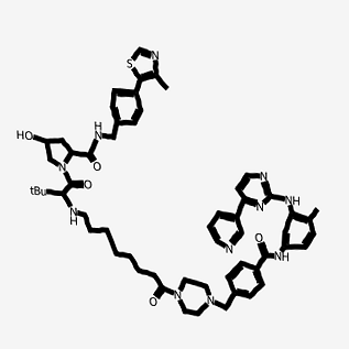 Cc1ccc(NC(=O)c2ccc(CN3CCN(C(=O)CCCCCCCNC(C(=O)N4CC(O)CC4C(=O)NCc4ccc(-c5scnc5C)cc4)C(C)(C)C)CC3)cc2)cc1Nc1nccc(-c2cccnc2)n1